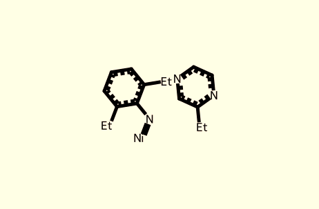 CCc1cccc(CC)c1[N]=[Ni].CCc1cnccn1